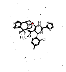 COC(=O)C1=C(CN2C3COCC2C(F)(F)c2[nH]ncc23)NC(c2nccs2)=N[C@H]1c1ccc(F)cc1Cl